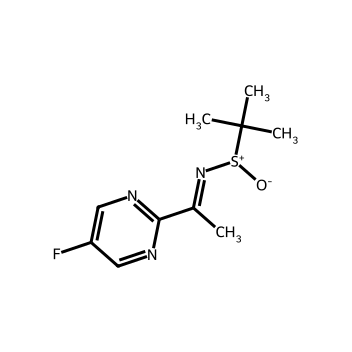 CC(=N[S+]([O-])C(C)(C)C)c1ncc(F)cn1